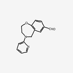 O=Cc1ccc2c(c1)CN(c1ccccn1)CCO2